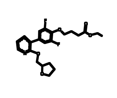 CCOC(=O)CCCOc1c(F)cc(-c2cccnc2OCC2CCCO2)cc1F